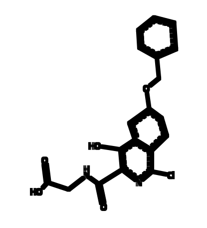 O=C(O)CNC(=O)c1nc(Cl)c2ccc(OCc3ccccc3)cc2c1O